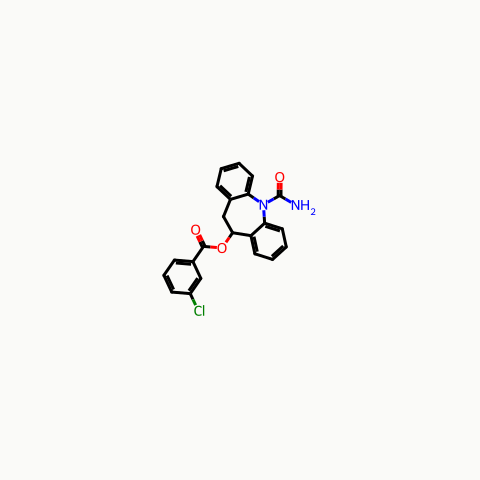 NC(=O)N1c2ccccc2CC(OC(=O)c2cccc(Cl)c2)c2ccccc21